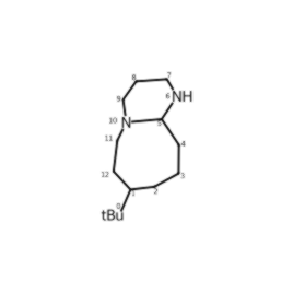 CC(C)(C)C1CCCC2NCCCN2CC1